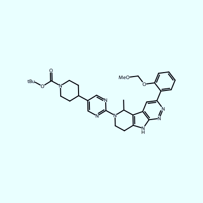 COCOc1ccccc1-c1cc2c3c([nH]c2nn1)CCN(c1ncc(C2CCN(C(=O)OC(C)(C)C)CC2)cn1)C3C